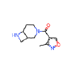 Cc1nocc1C(=O)N1CCC2NCC2C1